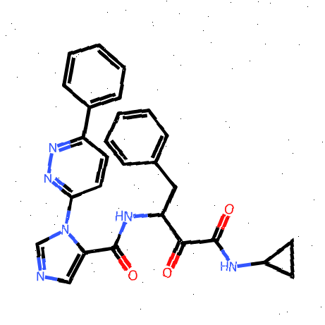 O=C(NC1CC1)C(=O)C(Cc1ccccc1)NC(=O)c1cncn1-c1ccc(-c2ccccc2)nn1